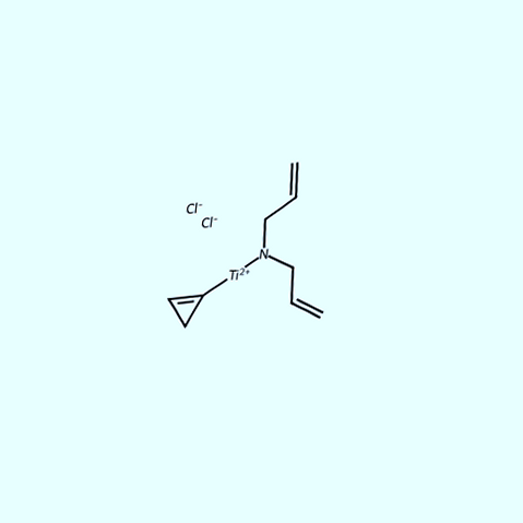 C=CC[N](CC=C)[Ti+2][C]1=CC1.[Cl-].[Cl-]